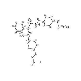 CN(C)CCC1CCN(c2cc(C(=O)NCC3CCC(CCC(C)(C)C)CC3)c3ccccc3n2)CC1